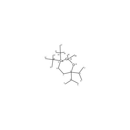 CC(C)C1(C(C)C)C[CH2][Ge]([C](C)(C)C)([C](C)(C)C)[Ge]([CH3])([CH3])[O]1